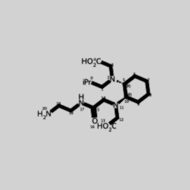 CC(C)CN(CC(=O)O)[C@@H]1CCCC[C@H]1N(CC(=O)O)CC(=O)NCCN